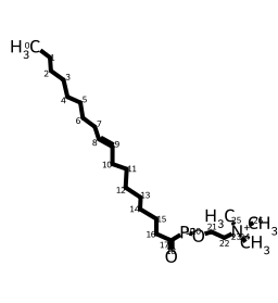 CCCCCCCCC=CCCCCCCCC(=O)[P-]OCC[N+](C)(C)C